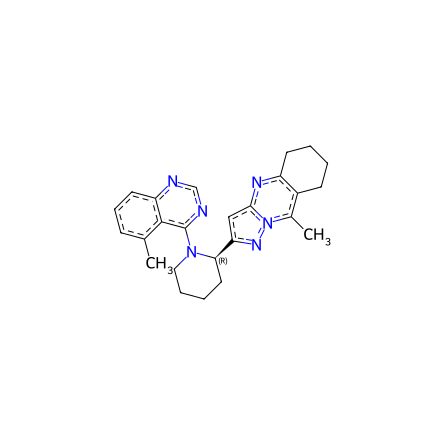 Cc1cccc2ncnc(N3CCCC[C@@H]3c3cc4nc5c(c(C)n4n3)CCCC5)c12